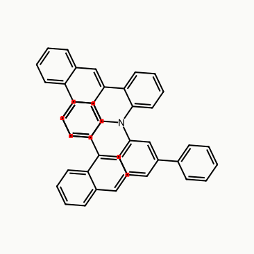 c1ccc(-c2cccc(N(c3ccccc3-c3cccc4ccccc34)c3ccccc3-c3cc4ccccc4c4ccccc34)c2)cc1